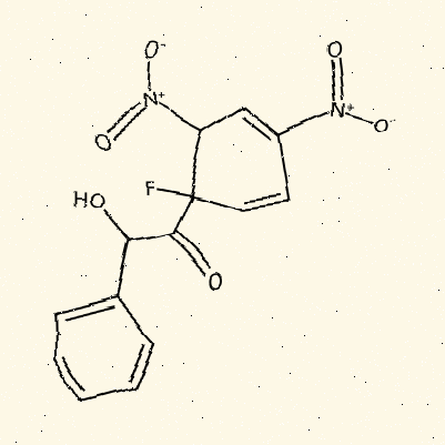 O=C(C(O)c1ccccc1)C1(F)C=CC([N+](=O)[O-])=CC1[N+](=O)[O-]